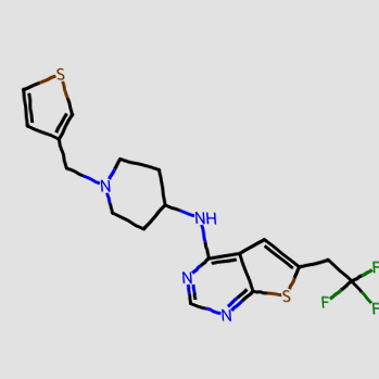 FC(F)(F)Cc1cc2c(NC3CCN(Cc4ccsc4)CC3)ncnc2s1